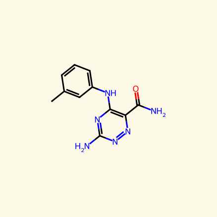 Cc1cccc(Nc2nc(N)nnc2C(N)=O)c1